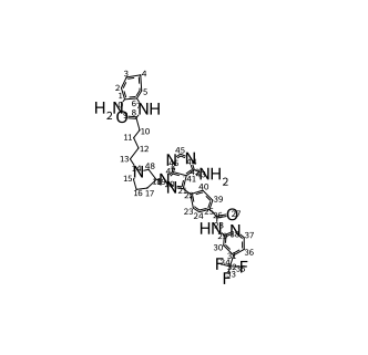 Nc1ccccc1NC(=O)CCCCN1CCCC(n2nc(-c3ccc(C(=O)Nc4cc(C(F)(F)F)ccn4)cc3)c3c(N)ncnc32)C1